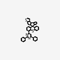 c1ccc(-c2cc(-c3cccc4c3Sc3ccccc3C43c4ccccc4-c4c3ccc3sccc43)nc(-c3ccccc3)n2)cc1